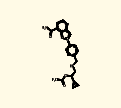 NC(=O)c1cccc2cn(-c3ccc(CNCC(OC(=O)C(F)(F)F)C4CC4)cc3)nc12